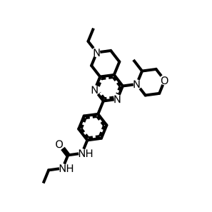 CCNC(=O)Nc1ccc(-c2nc3c(c(N4CCOCC4C)n2)CCN(CC)C3)cc1